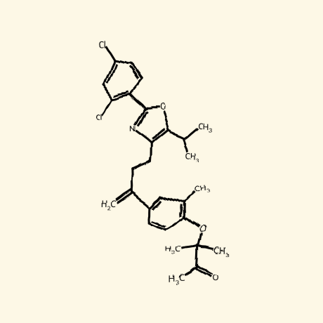 C=C(CCc1nc(-c2ccc(Cl)cc2Cl)oc1C(C)C)c1ccc(OC(C)(C)C(C)=O)c(C)c1